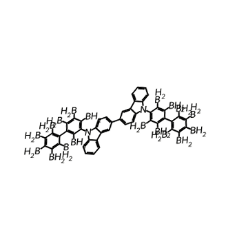 Bc1c(B)c(B)c(-c2c(B)c(B)c(-n3c4ccccc4c4cc(-c5ccc6c(c5)c5ccccc5n6-c5c(B)c(B)c(B)c(-c6c(B)c(B)c(B)c(B)c6B)c5B)ccc43)c(B)c2B)c(B)c1B